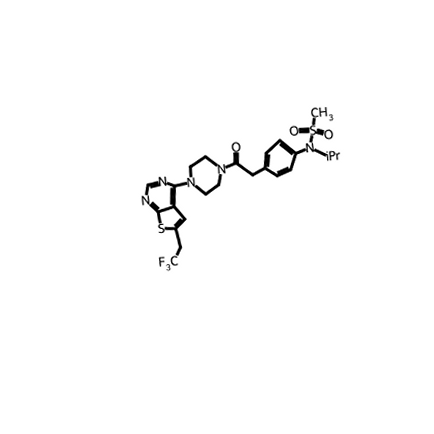 CC(C)N(c1ccc(CC(=O)N2CCN(c3ncnc4sc(CC(F)(F)F)cc34)CC2)cc1)S(C)(=O)=O